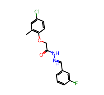 Cc1cc(Cl)ccc1OCC(=O)N/N=C/c1cccc(F)c1